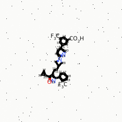 O=C(O)c1cc(-c2ccc(N3CC(C=Cc4c(-c5ccccc5C(F)(F)F)noc4C4CC4)C3)nc2)cc(C(F)(F)F)c1